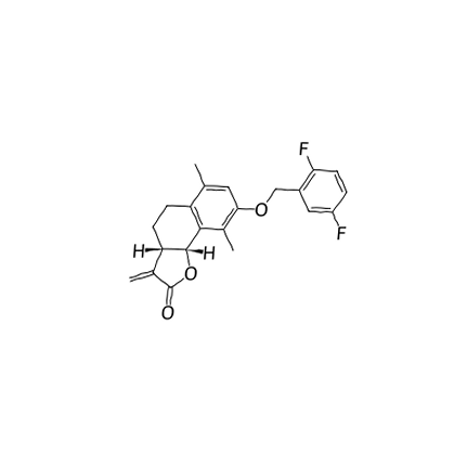 C=C1C(=O)O[C@H]2c3c(C)c(OCc4cc(F)ccc4F)cc(C)c3CC[C@@H]12